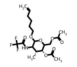 C=CCCCCOC1OC(COC(C)=O)[C@H](OC(C)=O)[C@H](C)C1NC(=O)C(F)(F)F